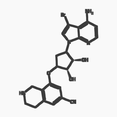 N#Cc1cc2c(c(OC3CC(n4cc(Br)c5c(N)ccnc54)[C@H](O)[C@@H]3O)c1)CNCC2